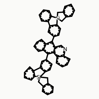 c1ccc2c(c1)C[Si]1(C2)c2ccccc2-c2cc(-c3c4ccccc4c(-c4ccc5c(c4)-c4ccccc4[Si]54Cc5ccccc5C4)c4c3cnc3ccccc34)ccc21